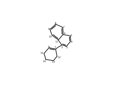 C1=C(c2cccc3ccccc23)CCCC1